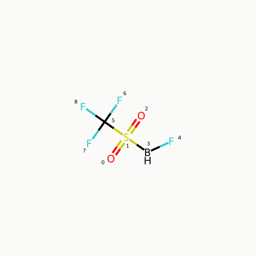 O=S(=O)(BF)C(F)(F)F